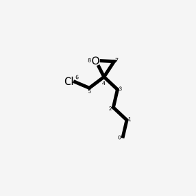 CCCCC1(CCl)CO1